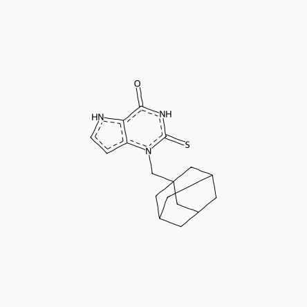 O=c1[nH]c(=S)n(CC23CC4CC(CC(C4)C2)C3)c2cc[nH]c12